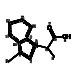 [CH2]c1cn(C(C)C(=O)O)c2ccccc12